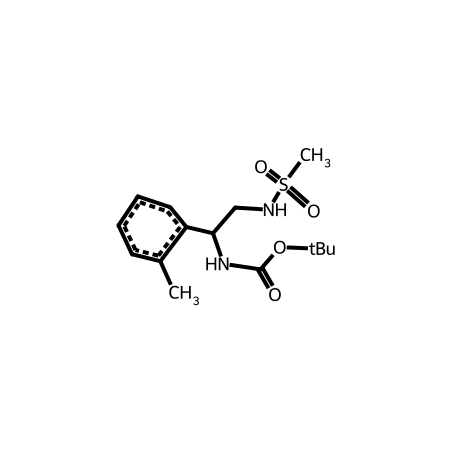 Cc1ccccc1C(CNS(C)(=O)=O)NC(=O)OC(C)(C)C